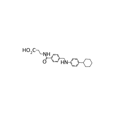 O=C(O)CCNC(=O)c1ccc(CNc2ccc(C3CCCCC3)cc2)cc1